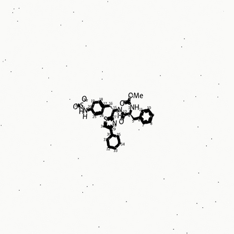 COC(=O)N[C@@H](Cc1ccccc1)C(=O)N[C@@H](CC1=CCC(N[SH](=O)=O)C=C1)c1nc(C2CCCCC2)cs1